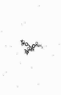 CCn1nc(C)cc1C(=O)Nc1nc2cc(C(N)=O)ccc2n1CCC1CCN(C(=O)OC(C)(C)C)CC1